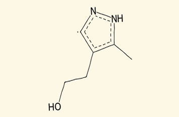 Cc1[nH]n[c]c1CCO